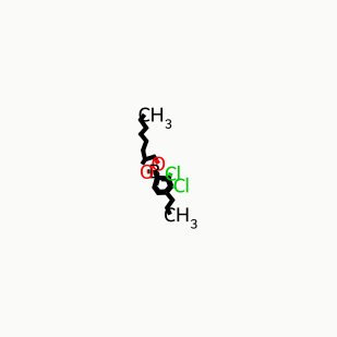 CCCCCCC1COB(c2ccc(CCC)c(Cl)c2Cl)OC1